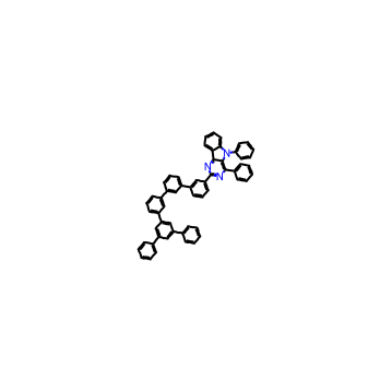 c1ccc(-c2cc(-c3ccccc3)cc(-c3cccc(-c4cccc(-c5cccc(-c6nc(-c7ccccc7)c7c(n6)c6ccccc6n7-c6ccccc6)c5)c4)c3)c2)cc1